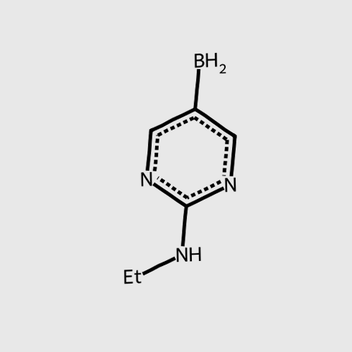 Bc1cnc(NCC)nc1